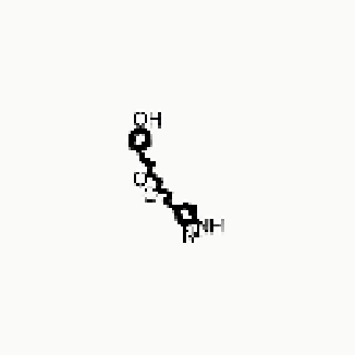 O=C(C=Cc1ccc(O)cc1)CC(=O)C=Cc1ccc2[nH]cnc2c1